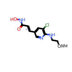 COCCNc1ncc(/C=C/C(=O)NO)cc1Cl